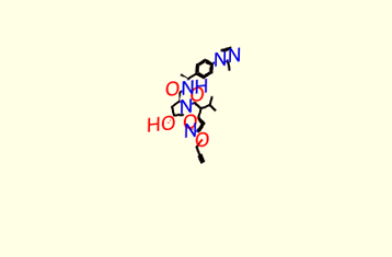 C#CCOc1cc(C(C(=O)N2C[C@H](O)C[C@H]2C(=O)N[C@@H](C)c2ccc(-n3ccnc3C)cc2)C(C)C)on1